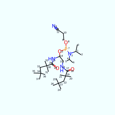 CC(C)N(C(C)C)P(OCCC#N)OC(CNC(=O)C(C)(C)CC(C)(C)C)NC(=O)C(C)(C)CC(C)(C)C